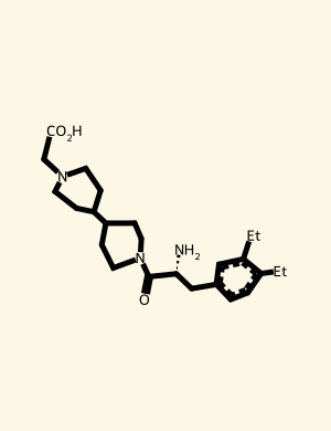 CCc1ccc(C[C@@H](N)C(=O)N2CCC(C3CCN(CC(=O)O)CC3)CC2)cc1CC